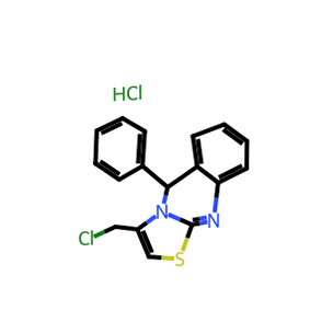 Cl.ClCC1=CSC2=Nc3ccccc3C(c3ccccc3)N12